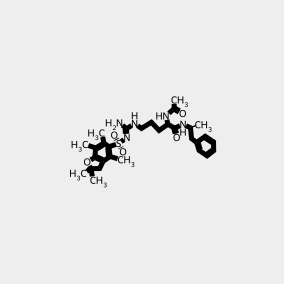 CC(=O)NC(CCCN/C(N)=N/S(=O)(=O)c1c(C)c(C)c2c(c1C)CC(C)(C)O2)C(=O)N[C@H](C)Cc1ccccc1